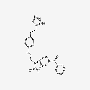 O=C(c1ccccc1)c1ccc2c(c1)sc(=O)n2CCOc1ccc(CCc2nnn[nH]2)cc1